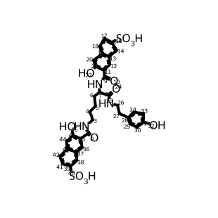 O=C(NCCCCC(NC(=O)c1cc2cc(S(=O)(=O)O)ccc2cc1O)C(=O)NCCc1ccc(O)cc1)c1cc2cc(S(=O)(=O)O)ccc2cc1O